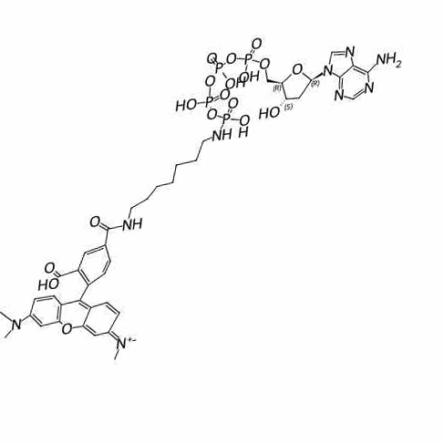 CN(C)c1ccc2c(-c3ccc(C(=O)NCCCCCCCNP(=O)(O)OP(=O)(O)OP(=O)(O)OP(=O)(O)OC[C@H]4O[C@@H](n5cnc6c(N)ncnc65)C[C@@H]4O)cc3C(=O)O)c3ccc(=[N+](C)C)cc-3oc2c1